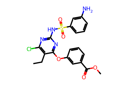 CCc1c(Cl)nc(NS(=O)(=O)c2cccc(N)c2)nc1Oc1cccc(C(=O)OC)c1